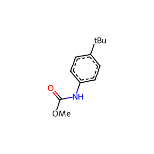 COC(=O)Nc1ccc(C(C)(C)C)cc1